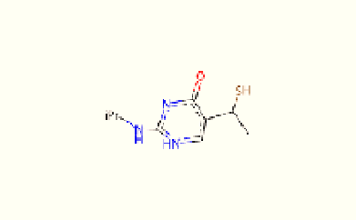 CC(C)Nc1nc(=O)c(C(C)S)c[nH]1